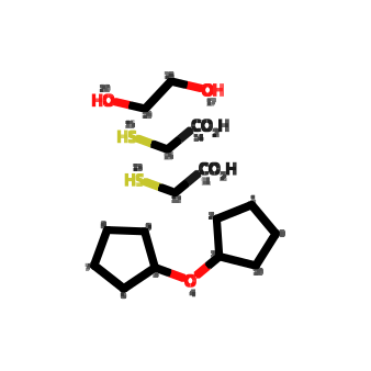 C1CCC(OC2CCCC2)C1.O=C(O)CS.O=C(O)CS.OCCO